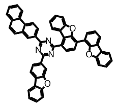 c1ccc2c(c1)ccc1cc(-c3nc(-c4ccc5c(c4)oc4ccccc45)nc(-c4ccc(-c5cccc6c5oc5ccccc56)c5oc6ccccc6c45)n3)ccc12